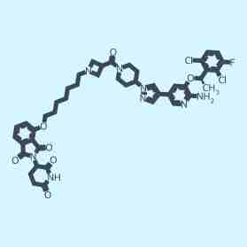 C[C@@H](Oc1cc(-c2cnn(C3CCN(C(=O)C4CN(CCCCCCCOc5cccc6c5C(=O)N(C5CCC(=O)NC5=O)C6=O)C4)CC3)c2)cnc1N)c1c(Cl)ccc(F)c1Cl